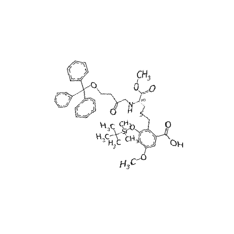 COC(=O)[C@H](CSCc1c(O[Si](C)(C)C(C)(C)C)cc(OC)cc1C(=O)O)NCC(=O)CCOC(c1ccccc1)(c1ccccc1)c1ccccc1